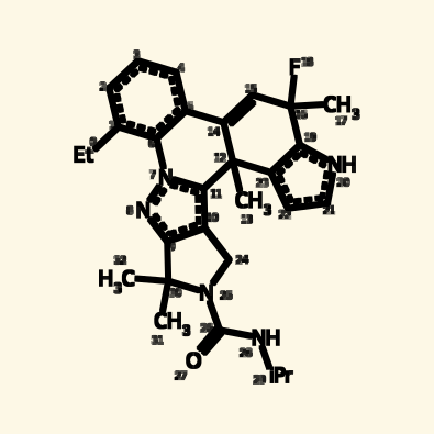 CCc1cccc2c1-n1nc3c(c1C1(C)C2=CC(C)(F)c2[nH]ccc21)CN(C(=O)NC(C)C)C3(C)C